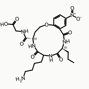 CCC[C@@H]1NC(=O)c2cc([N+](=O)[O-])ccc2OCC[C@@H](C(=O)NCC(=O)O)NC(=O)C(CCCCN)NC1=O